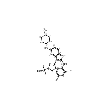 CC(C)(O)C1CC[C@H](n2c(Nc3ccc(F)cc3F)nc3cnc(N[C@H]4CC[C@H](O)CC4)nc32)C1